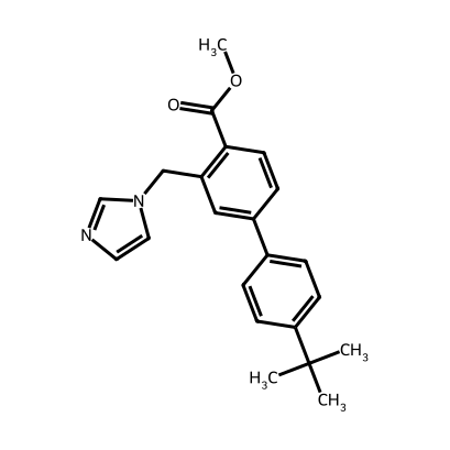 COC(=O)c1ccc(-c2ccc(C(C)(C)C)cc2)cc1Cn1ccnc1